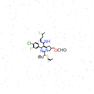 C/C=C\SC(C1=NC(c2ccc(Cl)c(F)c2)C(C(=N)/C=C\CC(C)F)=C2CC(COC=O)CN12)C(C)CC